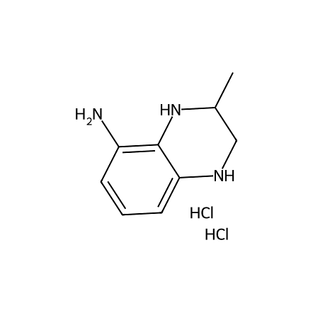 CC1CNc2cccc(N)c2N1.Cl.Cl